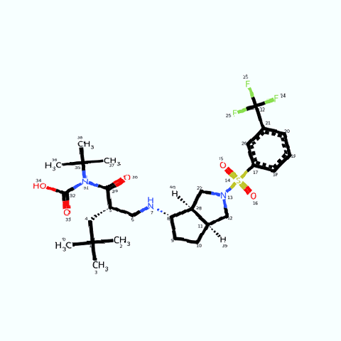 CC(C)(C)C[C@@H](CN[C@H]1CC[C@@H]2CN(S(=O)(=O)c3cccc(C(F)(F)F)c3)C[C@@H]21)C(=O)N(C(=O)O)C(C)(C)C